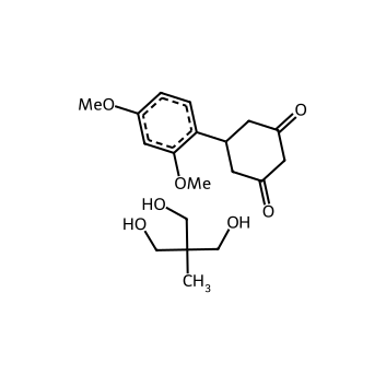 CC(CO)(CO)CO.COc1ccc(C2CC(=O)CC(=O)C2)c(OC)c1